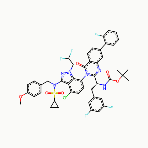 COc1ccc(CN(c2nn(CC(F)F)c3c(-n4c([C@H](Cc5cc(F)cc(F)c5)NC(=O)OC(C)(C)C)nc5cc(-c6ccccc6F)ccc5c4=O)ccc(Cl)c23)S(=O)(=O)C2CC2)cc1